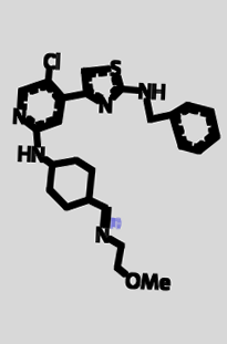 COCC/N=C/C1CCC(Nc2cc(-c3csc(NCc4ccccc4)n3)c(Cl)cn2)CC1